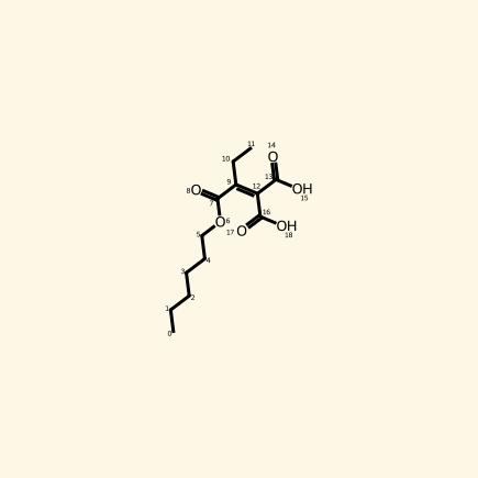 CCCCCCOC(=O)C(CC)=C(C(=O)O)C(=O)O